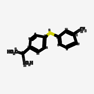 O=C(O)C(c1ccc(Sc2cccc(C(F)(F)F)c2)cc1)S(=O)(=O)O